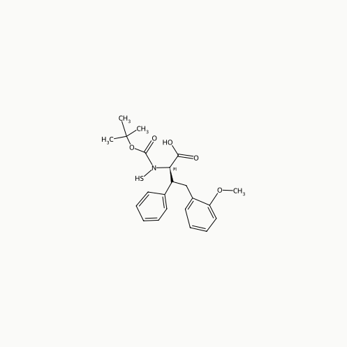 COc1ccccc1CC(c1ccccc1)[C@H](C(=O)O)N(S)C(=O)OC(C)(C)C